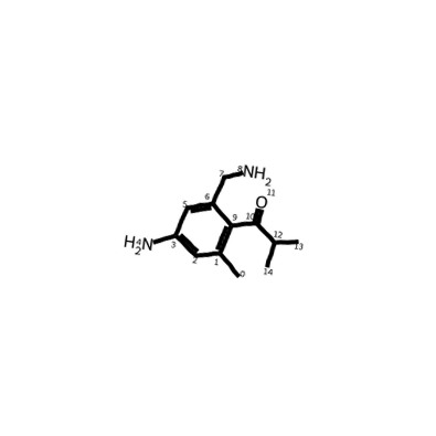 Cc1cc(N)cc(CN)c1C(=O)C(C)C